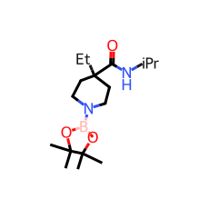 CCC1(C(=O)NC(C)C)CCN(B2OC(C)(C)C(C)(C)O2)CC1